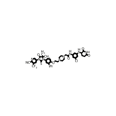 CC(C)c1cc(N2C(=S)N(c3cnc(C#N)c(C(F)(F)F)c3)C(=O)C2(C)C)ccc1OCCN1CCN(CC(=O)Nc2cc(Cl)cc(NC3CCC(=O)NC3=O)c2)CC1